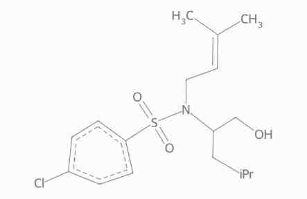 CC(C)=CCN(C(CO)CC(C)C)S(=O)(=O)c1ccc(Cl)cc1